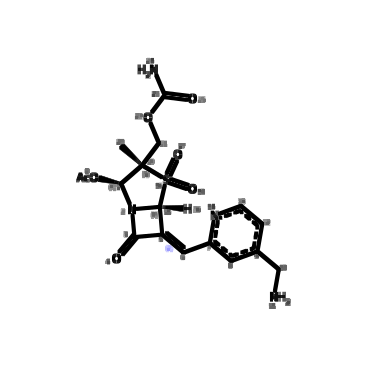 CC(=O)O[C@@H]1N2C(=O)/C(=C/c3cc(CN)ccn3)[C@H]2S(=O)(=O)[C@@]1(C)COC(N)=O